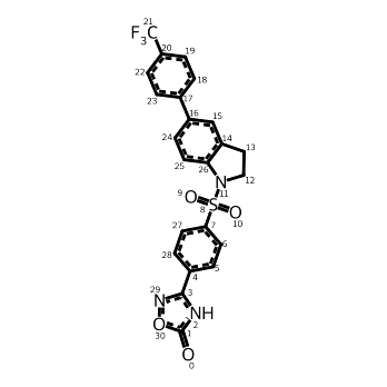 O=c1[nH]c(-c2ccc(S(=O)(=O)N3CCc4cc(-c5ccc(C(F)(F)F)cc5)ccc43)cc2)no1